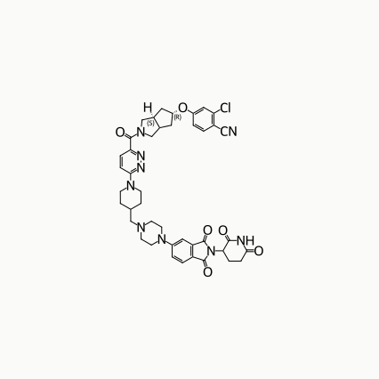 N#Cc1ccc(O[C@@H]2CC3CN(C(=O)c4ccc(N5CCC(CN6CCN(c7ccc8c(c7)C(=O)N(C7CCC(=O)NC7=O)C8=O)CC6)CC5)nn4)C[C@H]3C2)cc1Cl